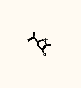 C=C(C)c1cc(Cl)c(Cl)[nH]1